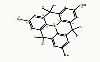 CC(C)(C)c1cc2c3c(c1)C(C)(C)c1cc(C(C)(C)C)cc4c1N3c1c(cc(C(C)(C)C)cc1C4(C)C)C2(C)C